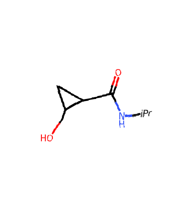 CC(C)NC(=O)C1CC1O